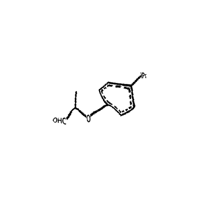 CC(C=O)Oc1ccc(C(C)C)cc1